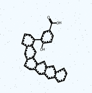 O=C(O)c1ccc(O)c(-c2cccc3cc4ccc5cc6cc7ccccc7cc6cc5c4cc23)c1